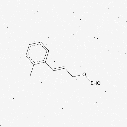 Cc1ccccc1/C=C/CO[C]=O